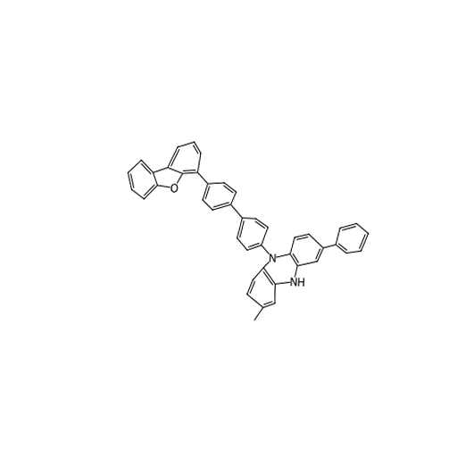 Cc1ccc2c(c1)Nc1cc(-c3ccccc3)ccc1N2c1ccc(-c2ccc(-c3cccc4c3oc3ccccc34)cc2)cc1